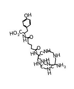 NC12CNCCNCC(NC(=O)CCCC(=O)NC(Cc3ccc(O)cc3)C(=O)O)(CNCCNC1)CNCCNC2